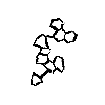 c1ccc(-c2nc3ccccc3c3c2ccc2c4cccc(-c5cc6cccnc6c6ncccc56)c4sc23)cc1